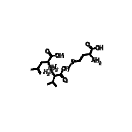 CC(C)C(N)C(=O)O.CC(C)CC(N)C(=O)O.CSCCC(N)C(=O)O